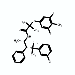 Cc1c(F)cc(OC(C)(C)C(=O)N[C@@H](C)[C@@H](c2ccccc2)C(C)(C)c2cccc(Cl)c2)cc1F